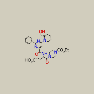 CCOC(=O)N1CCN(C(=O)C(CCC(=O)O)NC(=O)c2cc(N3CCCC[C@H]3CO)nc(-c3ccccc3)n2)CC1